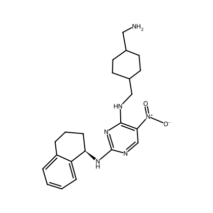 NCC1CCC(CNc2nc(N[C@@H]3CCCc4ccccc43)ncc2[N+](=O)[O-])CC1